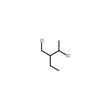 CCC(CCl)C(C)Cl